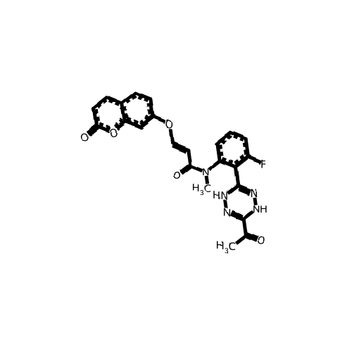 CC(=O)C1=NNC(c2c(F)cccc2N(C)C(=O)/C=C/Oc2ccc3ccc(=O)oc3c2)=NN1